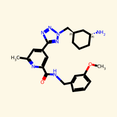 COc1cccc(CNC(=O)c2cc(-c3nnn(C[C@@H]4CCC[C@@H](N)C4)n3)cc(C)n2)c1